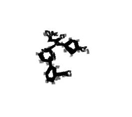 CC(=O)OCC(=O)N(c1ccc(C(F)(F)F)cc1)c1nccc(-c2cccc(Cl)c2)n1